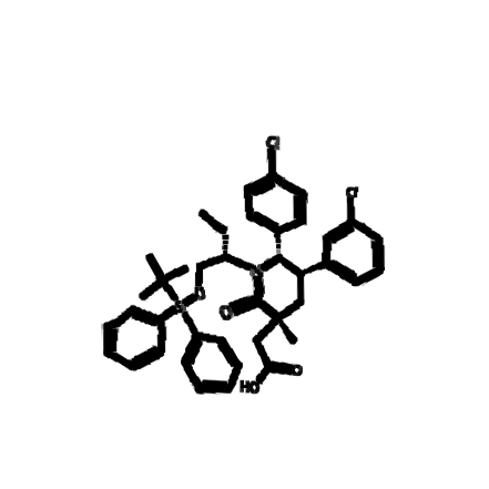 CC[C@@H](CO[Si](c1ccccc1)(c1ccccc1)C(C)(C)C)N1C(=O)[C@@](C)(CC(=O)O)C[C@H](c2cccc(Cl)c2)[C@H]1c1ccc(Cl)cc1